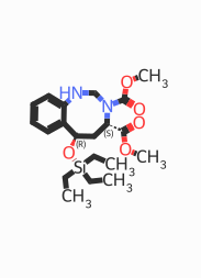 CC[Si](CC)(CC)O[C@@H]1C[C@@H](C(=O)OC)N(C(=O)OC)CNc2ccccc21